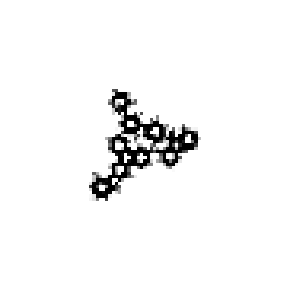 CC1(C)c2ccccc2-c2cccc(N(c3ccc4c(c3)c3ccccc3c3cc5c(cc43)sc3ccccc35)c3cccc4c3oc3ccc(-c5ccccn5)cc34)c21